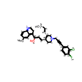 COc1ccc2nccc([C@H](O)CC[C@@H]3CCN(CC#Cc4ccc(F)c(Cl)c4)C[C@H]3CCC(=O)O)c2c1